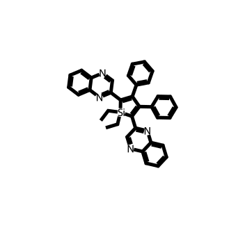 CC[Si]1(CC)C(c2cnc3ccccc3n2)=C(c2ccccc2)C(c2ccccc2)=C1c1cnc2ccccc2n1